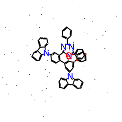 c1ccc(-c2nc(-c3ccccc3)nc(-c3cc(-n4c5ccccc5c5ccccc54)ccc3-c3cc(-n4c5ccccc5c5ccccc54)cc4c3oc3ccccc34)n2)cc1